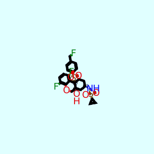 O=S(=O)(N[C@@H]1CC[C@@]2(S(=O)(=O)c3ccc(CF)cc3)c3c(F)ccc(F)c3OC[C@@]2(O)C1)C1CC1